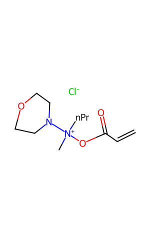 C=CC(=O)O[N+](C)(CCC)N1CCOCC1.[Cl-]